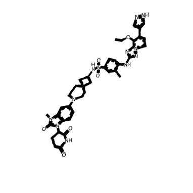 CCOc1c(-c2cn[nH]c2)ccn2nc(Nc3ccc(S(=O)(=O)NC4CC5(CCN(c6ccc7c(c6)n(C)c(=O)n7C6CCC(=O)NC6=O)CC5)C4)cc3C)nc12